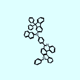 c1ccc(-n2c3ccccc3c3c4c(ccc32)c(-c2ccc(N(c3ccc5c(c3)C(c3ccccc3)(c3ccccc3)c3ccccc3-5)c3ccc5ccccc5c3)cc2)nc2ccccc24)cc1